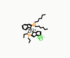 CCCCCCP(CCCCCC)C1=Cc2ccccc2[CH]1[Zr+2][CH]1C(P(CCC)CCC)=Cc2ccccc21.[Cl-].[Cl-]